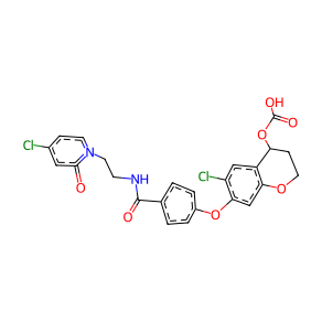 O=C(O)OC1CCOc2cc(Oc3ccc(C(=O)NCCn4ccc(Cl)cc4=O)cc3)c(Cl)cc21